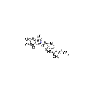 C[C@H](CSCC(F)(F)F)NC(=O)c1ccc(/C=C/C(c2cc(Cl)c(Cl)c(Cl)c2)C(F)(F)F)cc1Cl